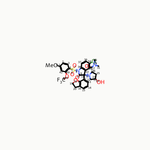 COc1ccc(S(=O)(=O)N2C(=O)C(c3cccc4c3OCC4)(N3C[C@H](O)C[C@H]3C(=O)N(C)C)c3cc(Cl)ccc32)c(OC(F)(F)F)c1